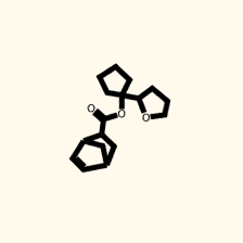 O=C(OC1(C2CCCO2)CCCC1)C1CC2C=CC1C2